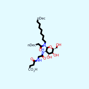 CCCCCCCCCCCCCCCCCCN(C(=O)CCCCCCCCCCC)[C@@H]1O[C@H](CO)[C@@H](O)[C@H](O)[C@@H]1NC(=O)CNC(=O)CCC(=O)O